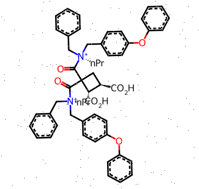 CCC[N@+](Cc1ccccc1)(Cc1ccc(Oc2ccccc2)cc1)C(=O)C1(C(=O)[N@@+](CCC)(Cc2ccccc2)Cc2ccc(Oc3ccccc3)cc2)C[C@@H](C(=O)O)[C@@H]1C(=O)O